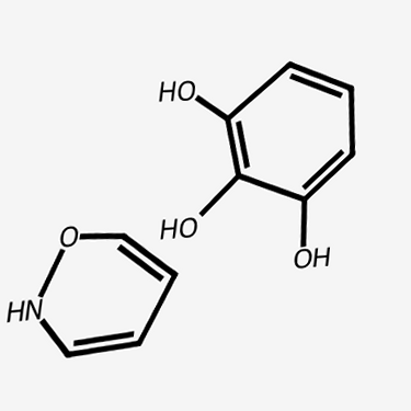 C1=CNOC=C1.Oc1cccc(O)c1O